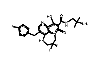 CC(C)(N)CNC(=O)c1c(O)c2ncc(Cc3ccc(F)cc3)c3c2n(c1=O)CC(F)(F)CN3